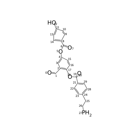 O=Cc1cc(OC(=O)c2ccc(O)cc2)ccc1OC(=O)c1ccc(CCP)cc1